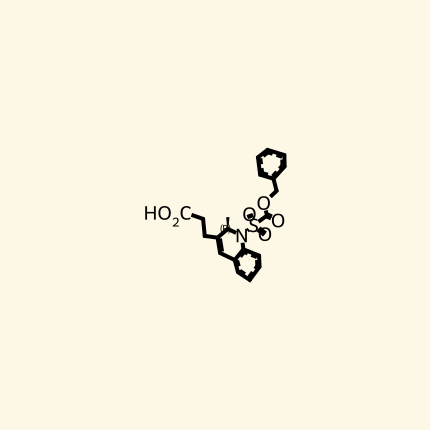 C[C@@H]1C(CCC(=O)O)=Cc2ccccc2N1S(=O)(=O)C(=O)OCc1ccccc1